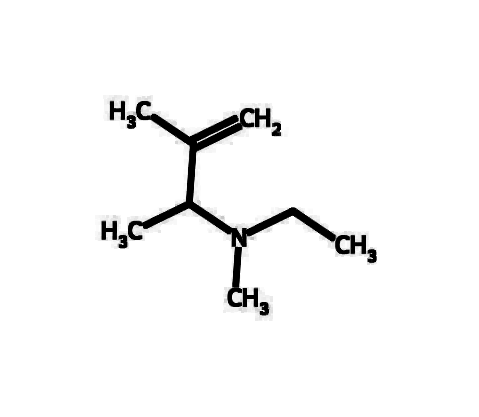 C=C(C)C(C)N(C)CC